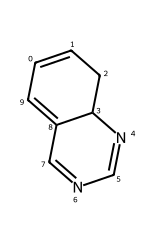 C1=CCC2N=CN=CC2=C1